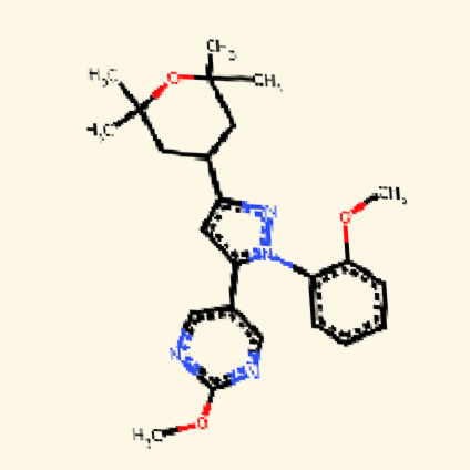 COc1ncc(-c2cc(C3CC(C)(C)OC(C)(C)C3)nn2-c2ccccc2OC)cn1